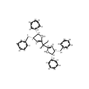 CC(C)(C1=N[C@H](Cc2ccccc2)[C@H](c2ccccc2)O1)C1=N[C@H](Cc2ccccc2)[C@H](c2ccccc2)O1